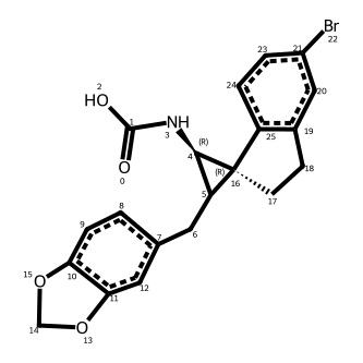 O=C(O)N[C@@H]1C(Cc2ccc3c(c2)OCO3)[C@@]12CCc1cc(Br)ccc12